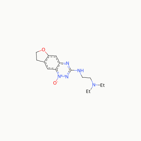 CCN(CC)CCNc1nc2cc3c(cc2[n+]([O-])n1)CCO3